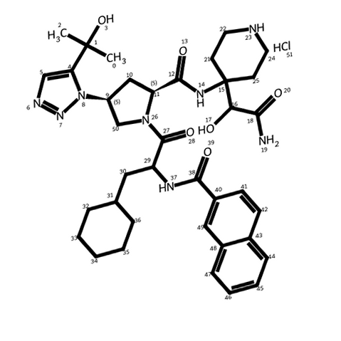 CC(C)(O)c1cnnn1[C@H]1C[C@@H](C(=O)NC2(C(O)C(N)=O)CCNCC2)N(C(=O)C(CC2CCCCC2)NC(=O)c2ccc3ccccc3c2)C1.Cl